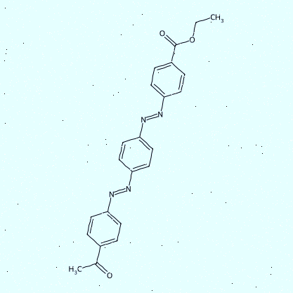 CCOC(=O)c1ccc(N=Nc2ccc(N=Nc3ccc(C(C)=O)cc3)cc2)cc1